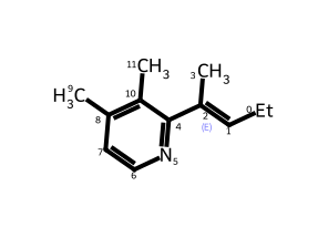 CC/C=C(\C)c1nccc(C)c1C